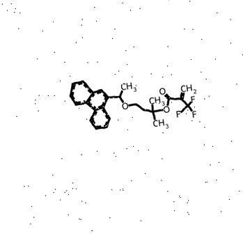 C=C(C(=O)OC(C)(C)CCOC(C)c1cc2ccccc2c2ccccc12)C(F)(F)F